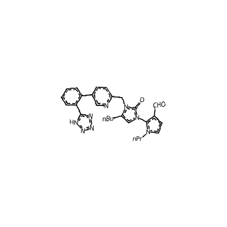 CCCCc1cn(-c2c(C=O)ccn2CCC)c(=O)n1Cc1ccc(-c2ccccc2-c2nnn[nH]2)cn1